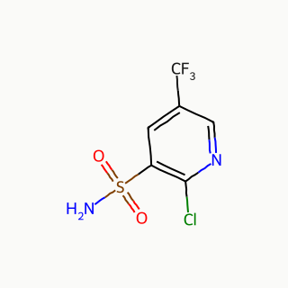 NS(=O)(=O)c1cc(C(F)(F)F)cnc1Cl